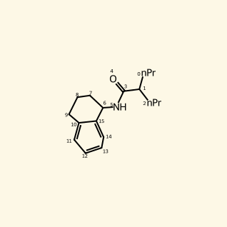 CCCC(CCC)C(=O)NC1CCCc2ccccc21